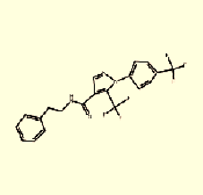 O=C(NCCc1ccccc1)c1cnn(-c2ccc(C(F)(F)F)cc2)c1C(F)(F)F